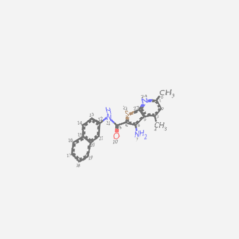 Cc1cc(C)c2c(N)c(C(=O)Nc3ccc4ccccc4c3)sc2n1